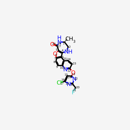 C[C@@H]1CNc2c(oc3ccc4nc(Oc5cc(Cl)nc(CF)n5)ccc4c23)C(=O)N1